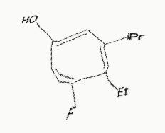 CCc1c(F)cc(O)cc1C(C)C